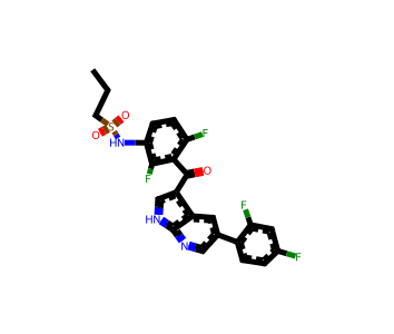 CCCS(=O)(=O)Nc1ccc(F)c(C(=O)c2c[nH]c3ncc(-c4ccc(F)cc4F)cc23)c1F